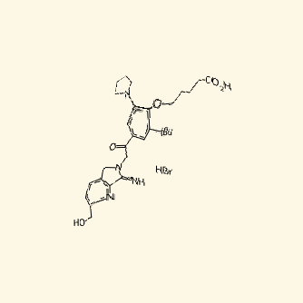 Br.CC(C)(C)c1cc(C(=O)CN2Cc3ccc(CO)nc3C2=N)cc(N2CCCC2)c1OCCCCC(=O)O